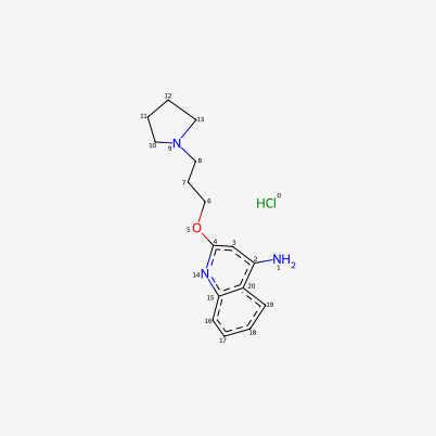 Cl.Nc1cc(OCCCN2CCCC2)nc2ccccc12